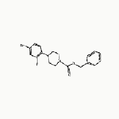 O=C(OCc1ccccc1)N1CCC(c2ccc(Br)cc2F)CC1